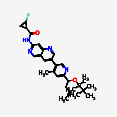 C=CCC(O[Si](C)(C)C(C)(C)C)c1cc(C)c(-c2cnc3cc(NC(=O)[C@H]4C[C@H]4F)ncc3c2)cn1